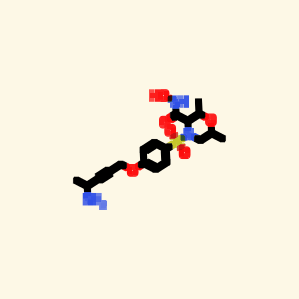 CC(N)C#CCOc1ccc(S(=O)(=O)N2CC(C)OC(C)C2C(=O)NO)cc1